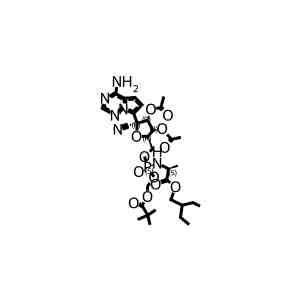 CCC(CC)COC(=O)[C@H](C)N[P@@](=O)(OCOC(=O)C(C)(C)C)OC[C@H]1O[C@@](C#N)(c2ccc3c(N)ncnn23)[C@H](OC(C)=O)[C@@H]1OC(C)=O